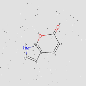 O=c1ccc2cc[nH]c2o1